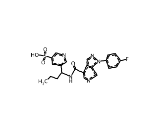 CCCC(NC(=O)c1cncc2c1cnn2-c1ccc(F)cc1)c1cncc(S(=O)(=O)O)c1